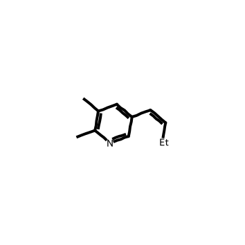 CC/C=C\c1cnc(C)c(C)c1